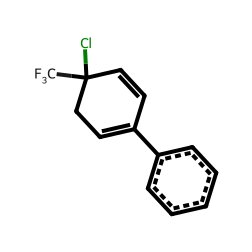 FC(F)(F)C1(Cl)C=CC(c2ccccc2)=CC1